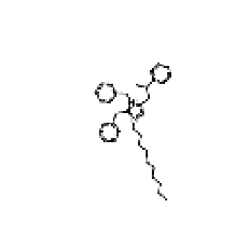 CCCCCCCCCCn1cc(CC(C)c2ccccc2)[n+](Cc2ccccc2)c1Cc1ccccc1